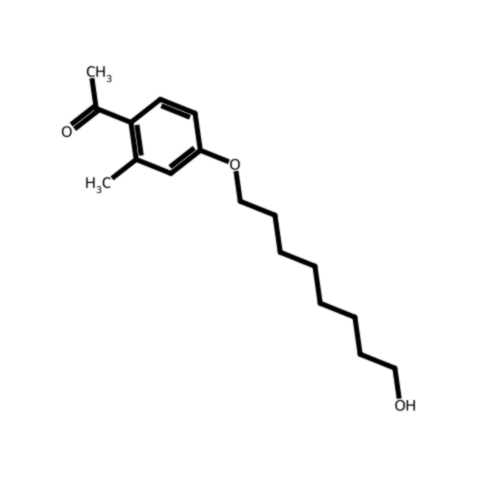 CC(=O)c1ccc(OCCCCCCCCO)cc1C